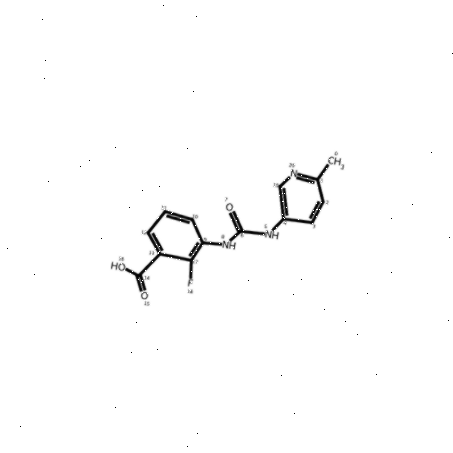 Cc1ccc(NC(=O)Nc2cccc(C(=O)O)c2F)cn1